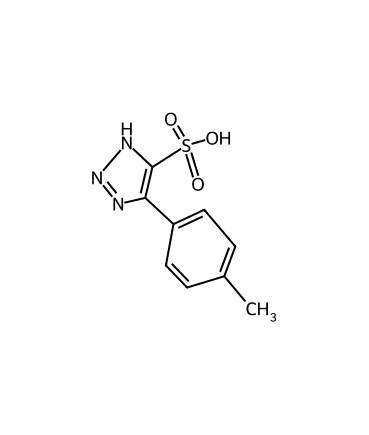 Cc1ccc(-c2nn[nH]c2S(=O)(=O)O)cc1